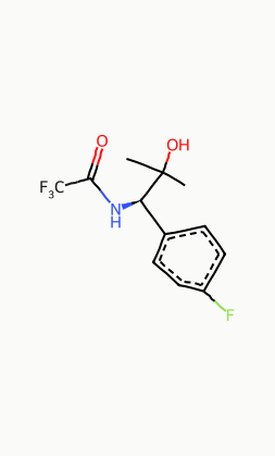 CC(C)(O)[C@H](NC(=O)C(F)(F)F)c1ccc(F)cc1